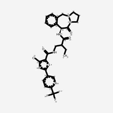 CCC(CNC(=O)c1sc(-c2ccc(C(F)(F)F)nc2)nc1Cl)C(=O)N[C@@H]1C(=O)N2CCCN2Cc2ccccc21